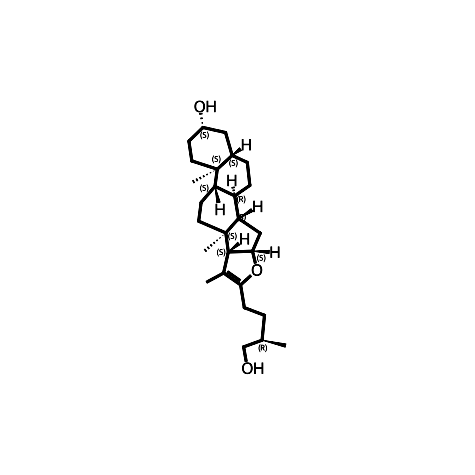 CC1=C(CC[C@@H](C)CO)O[C@H]2C[C@H]3[C@@H]4CC[C@H]5C[C@@H](O)CC[C@]5(C)[C@H]4CC[C@]3(C)[C@@H]12